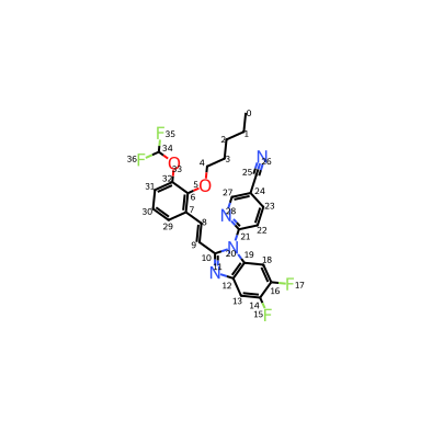 CCCCCOc1c(C=Cc2nc3cc(F)c(F)cc3n2-c2ccc(C#N)cn2)cccc1OC(F)F